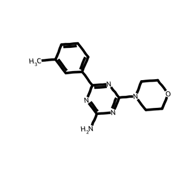 Cc1cccc(-c2nc(N)nc(N3CCOCC3)n2)c1